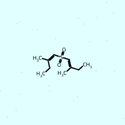 CCC(C)=CS(=O)(=O)C=C(C)CC